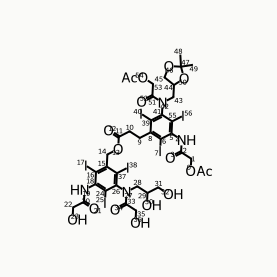 CC(=O)OCC(=O)Nc1c(I)c(CCC(=O)OCc2c(I)c(NC(=O)CO)c(I)c(N(CC(O)CO)C(=O)CO)c2I)c(I)c(N(CC2COC(C)(C)O2)C(=O)COC(C)=O)c1I